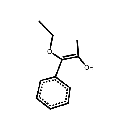 CCOC(=C(C)O)c1ccccc1